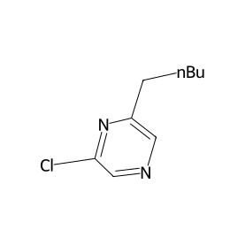 CCCCCc1cncc(Cl)n1